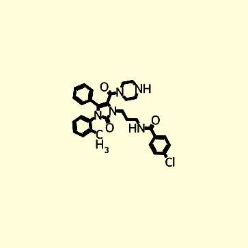 Cc1ccccc1-n1c(-c2ccccc2)c(C(=O)N2CCNCC2)n(CCCNC(=O)c2ccc(Cl)cc2)c1=O